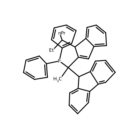 CCCC(CC)C1C(C(C)(C2c3ccccc3-c3ccccc32)P(c2ccccc2)c2ccccc2)=Cc2ccccc21